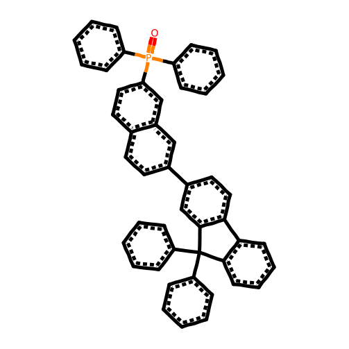 O=P(c1ccccc1)(c1ccccc1)c1ccc2ccc(-c3ccc4c(c3)C(c3ccccc3)(c3ccccc3)c3ccccc3-4)cc2c1